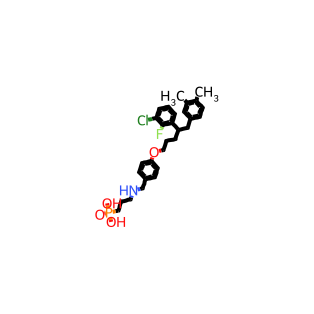 Cc1ccc(CC(CCCOc2ccc(CNCCCP(=O)(O)O)cc2)c2cccc(Cl)c2F)cc1C